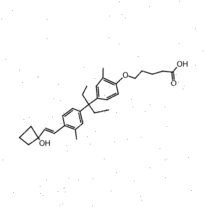 CCC(CC)(c1ccc(C=CC2(O)CCC2)c(C)c1)c1ccc(OCCCCC(=O)O)c(C)c1